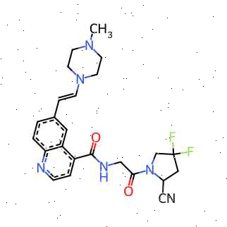 CN1CCN(C=Cc2ccc3nccc(C(=O)NCC(=O)N4CC(F)(F)CC4C#N)c3c2)CC1